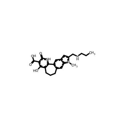 CCCNCc1cc2cc3c(cc2n1C)CCCc1c-3[nH]c(=O)c(C(=O)O)c1O